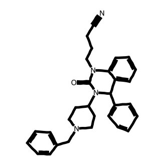 N#CCCCN1C(=O)N(C2CCN(Cc3ccccc3)CC2)C(c2ccccc2)c2ccccc21